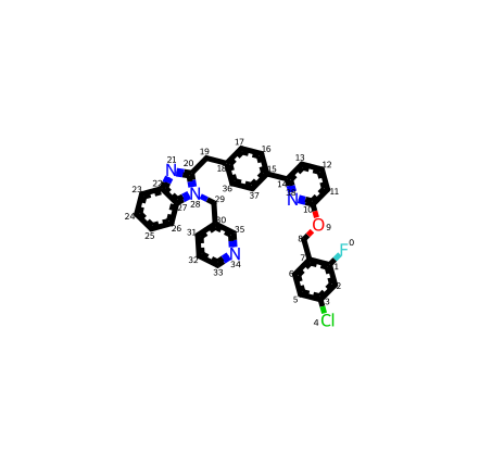 Fc1cc(Cl)ccc1COc1cccc(-c2ccc(Cc3nc4ccccc4n3Cc3cccnc3)cc2)n1